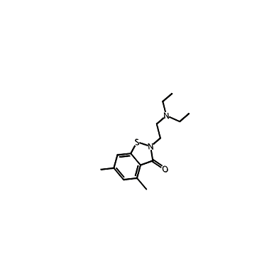 CCN(CC)CCn1sc2cc(C)cc(C)c2c1=O